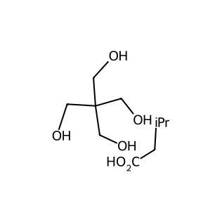 CC(C)CC(=O)O.OCC(CO)(CO)CO